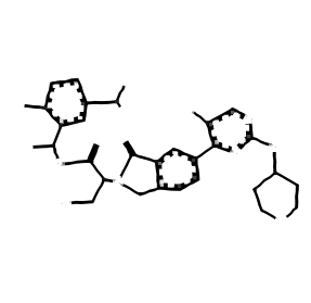 CC(NC(=O)C(CO)N1Cc2ccc(-c3nc(NC4CCOCC4)ncc3Cl)cc2C1=O)c1cc(C(F)F)ccc1F